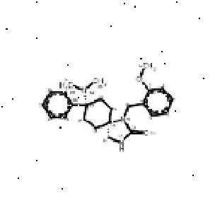 COc1ccccc1CN1C(=O)NC[C@]12CC[C@@](c1ccccc1)(N(C)C)CC2